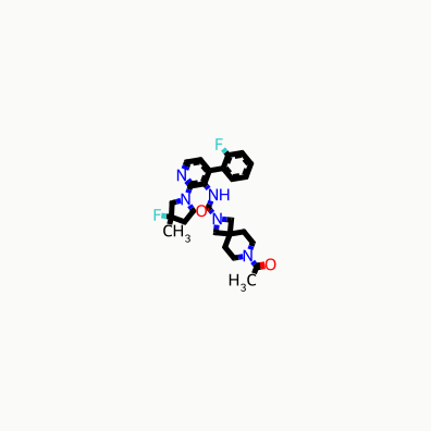 CC(=O)N1CCC2(CC1)CN(C(=O)Nc1c(-c3ccccc3F)ccnc1N1CCC(C)(F)C1)C2